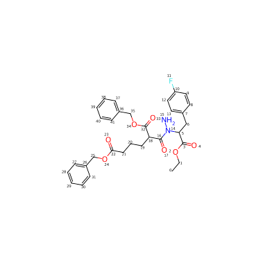 CCOC(=O)C(Cc1ccc(F)cc1)N(N)C(=O)C(CCCC(=O)OCc1ccccc1)C(=O)OCc1ccccc1